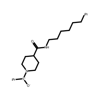 CC(C)CCCCCCNC(=O)C1CCN([S+]([O-])C(C)C)CC1